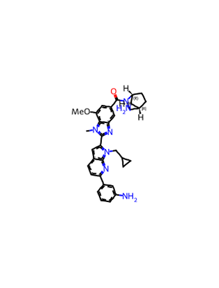 COc1cc(C(=O)N2C[C@H]3CC[C@@H]2[C@@H]3N)cc2nc(-c3cc4ccc(-c5cccc(N)c5)nc4n3CC3CC3)n(C)c12